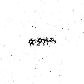 CCc1nnc(NC(=O)/C(C#N)=C/c2ccc(OCc3cccc(C)c3F)c(OC)c2)s1